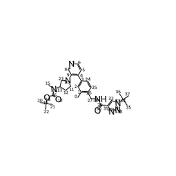 Cc1cc(-c2ccncc2N2CCC(N(C)C(=O)OC(C)(C)C)C2)ccc1CNC(=O)c1cn(C(C)(C)C)nn1